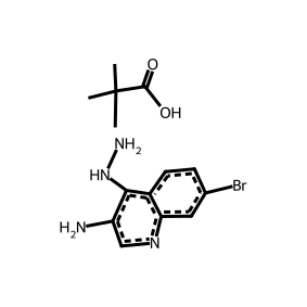 CC(C)(C)C(=O)O.NNc1c(N)cnc2cc(Br)ccc12